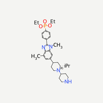 CCOP(=O)(OCC)c1ccc(-c2nc3c(C)cc(C4CCN(C5CCNCC5)[C@@H](C(C)C)C4)cc3n2C)cc1